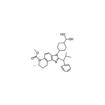 COC(=O)N1c2ccc3c(nc(C(c4ccccc4)C(C)C)n3C3CCC(C(O)O)CC3)c2CC[C@@H]1C